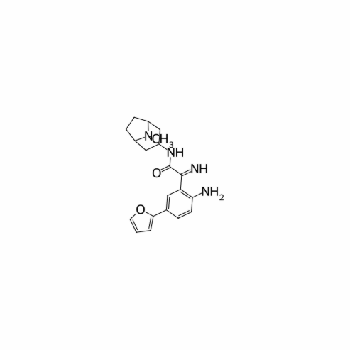 CN1C2CCC1CC(NC(=O)C(=N)c1cc(-c3ccco3)ccc1N)C2